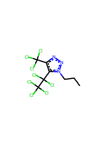 CCCn1nnc(C(Cl)(Cl)Cl)c1C(Cl)(Cl)C(Cl)(Cl)Cl